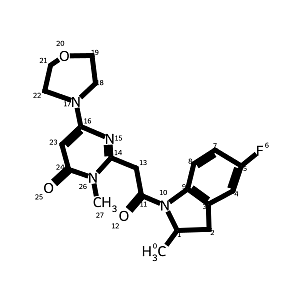 CC1Cc2cc(F)ccc2N1C(=O)Cc1nc(N2CCOCC2)cc(=O)n1C